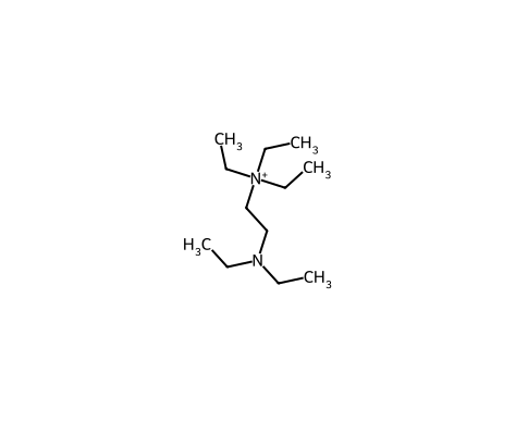 CCN(CC)CC[N+](CC)(CC)CC